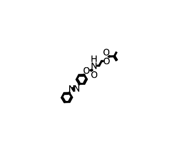 C=C(C)C(=O)OCCNC(=O)Oc1ccc(N=Nc2ccccc2)cc1